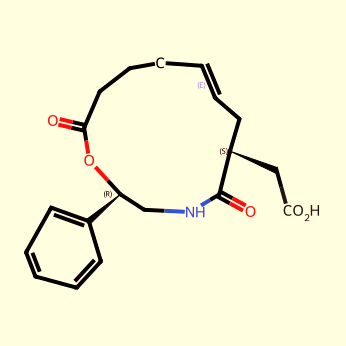 O=C(O)C[C@@H]1C/C=C/CCCC(=O)O[C@H](c2ccccc2)CNC1=O